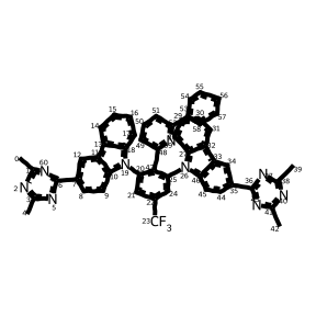 Cc1nc(C)nc(-c2ccc3c(c2)c2ccccc2n3-c2cc(C(F)(F)F)cc(-n3c4ccccc4c4cc(-c5nc(C)nc(C)n5)ccc43)c2-c2cccc(-c3ccccc3)n2)n1